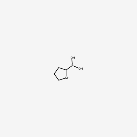 OP(O)C1CCCN1